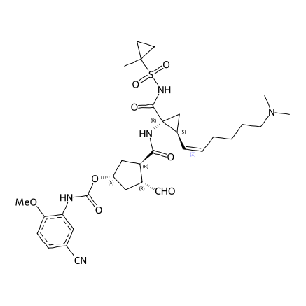 COc1ccc(C#N)cc1NC(=O)O[C@H]1C[C@@H](C=O)[C@H](C(=O)N[C@]2(C(=O)NS(=O)(=O)C3(C)CC3)C[C@H]2/C=C\CCCCN(C)C)C1